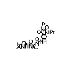 Cc1cn2cc(C(=O)N[C@@H]3CCCN(C(=O)Nc4ccc5c(c4)c(=O)n(CC4CC4)c(=O)n5C(C)C)C3)ccc2n1